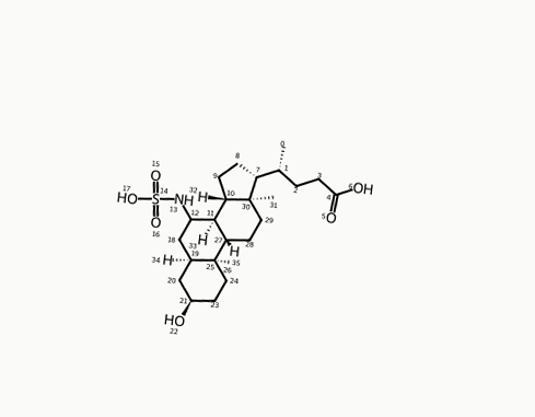 C[C@H](CCC(=O)O)[C@H]1CC[C@H]2[C@@H]3C(NS(=O)(=O)O)C[C@@H]4C[C@H](O)CC[C@]4(C)[C@H]3CC[C@]12C